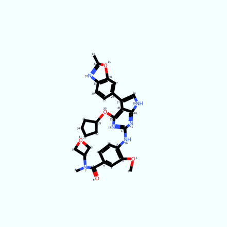 COc1cc(C(=O)N(C)C2COC2)ccc1Nc1nc(OC2CCCC2)c2c(-c3ccc4nc(C)oc4c3)c[nH]c2n1